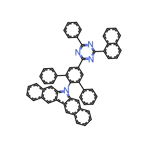 c1ccc(-c2nc(-c3cc(-c4ccccc4)c(-n4c5cc6ccccc6cc5c5cc6ccccc6cc54)c(-c4ccccc4)c3)nc(-c3cccc4ccccc34)n2)cc1